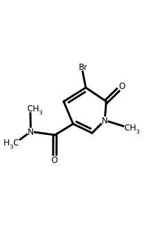 CN(C)C(=O)c1cc(Br)c(=O)n(C)c1